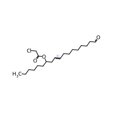 CCCCCCC(C/C=C/CCCCCCCC=O)OC(=O)CCl